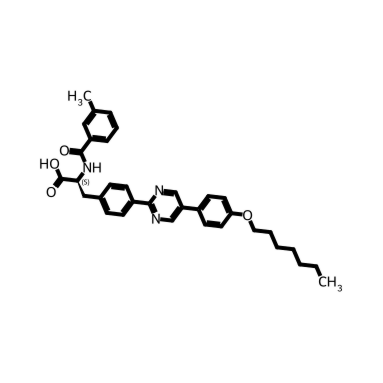 CCCCCCCOc1ccc(-c2cnc(-c3ccc(C[C@H](NC(=O)c4cccc(C)c4)C(=O)O)cc3)nc2)cc1